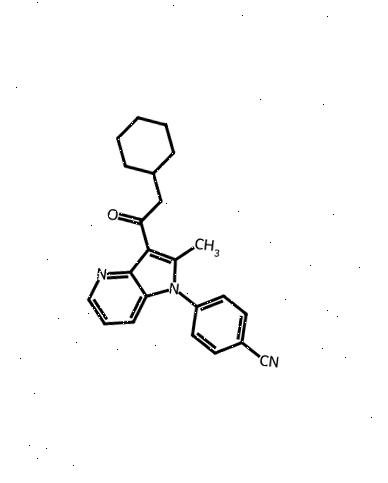 Cc1c(C(=O)CC2CCCCC2)c2ncccc2n1-c1ccc(C#N)cc1